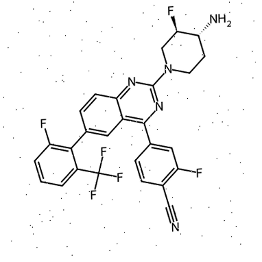 N#Cc1ccc(-c2nc(N3CC[C@@H](N)[C@H](F)C3)nc3ccc(-c4c(F)cccc4C(F)(F)F)cc23)cc1F